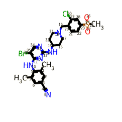 Cc1cc(C#N)cc(C)c1Nc1nc(NC2CCN(Cc3ccc(S(C)(=O)=O)cc3Cl)CC2)ncc1Br